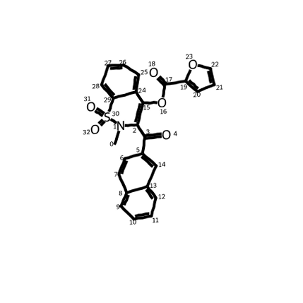 CN1C(C(=O)c2ccc3ccccc3c2)=C(OC(=O)c2ccco2)c2ccccc2S1(=O)=O